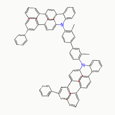 Cc1cc(-c2ccc(N(c3ccc(-c4cccc(-c5ccccc5)c4)cc3)c3ccccc3-c3ccc(-c4ccccc4)cc3)c(C)c2)ccc1N(c1ccc(-c2cccc(-c3ccccc3)c2)cc1)c1ccccc1-c1ccc(-c2ccccc2)cc1